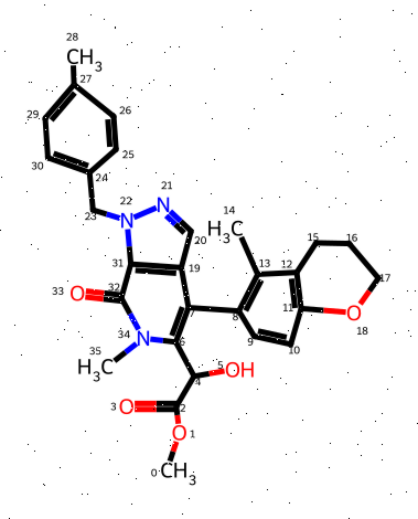 COC(=O)C(O)c1c(-c2ccc3c(c2C)CCCO3)c2cnn(Cc3ccc(C)cc3)c2c(=O)n1C